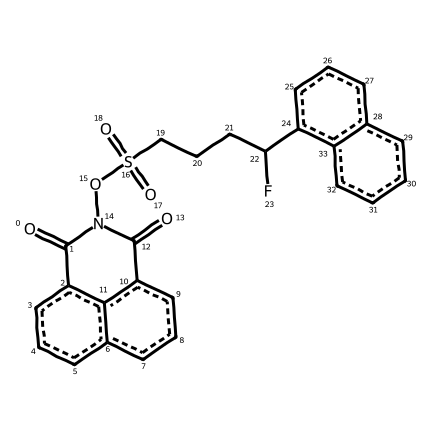 O=C1c2cccc3cccc(c23)C(=O)N1OS(=O)(=O)CCCC(F)c1cccc2ccccc12